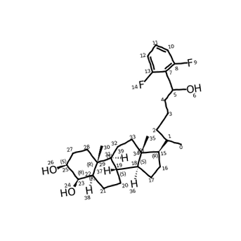 CC(CCCC(O)c1c(F)cccc1F)[C@H]1CC[C@H]2[C@@H]3CC[C@H]4[C@@H](O)[C@@H](O)CC[C@]4(C)[C@H]3CC[C@]12C